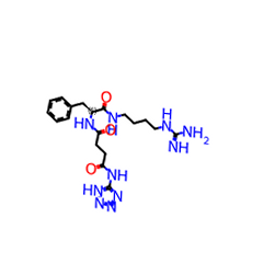 N=C(N)NCCCCNC(=O)[C@H](Cc1ccccc1)NC(=O)CCC(=O)Nc1nnn[nH]1